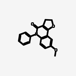 COc1ccc2c(c1)c1c(c(=O)n2-c2ccccc2)CCO1